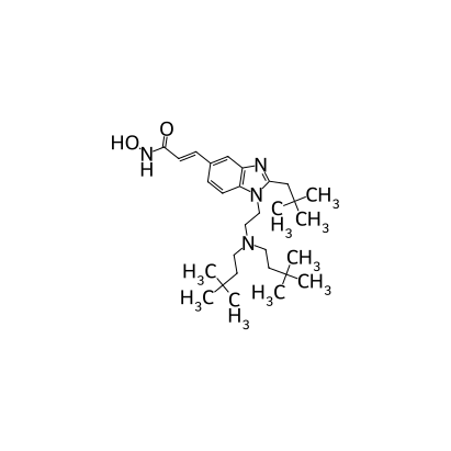 CC(C)(C)CCN(CCn1c(CC(C)(C)C)nc2cc(/C=C/C(=O)NO)ccc21)CCC(C)(C)C